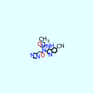 C[C@@H]1C[C@H](Nc2c(NC(=O)Cc3cnccn3)cnc3ccc(C#N)cc23)CCO1